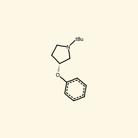 CC(C)(C)N1CC[C@@H](Oc2ccccc2)C1